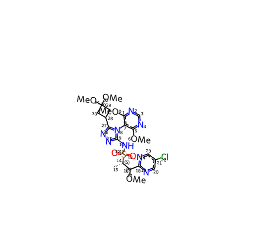 COc1ncnc(OC)c1-n1c(NS(=O)(=O)[C@@H](C)[C@H](OC)c2ncc(Cl)cn2)nnc1C1CC(OC)(OC)C1